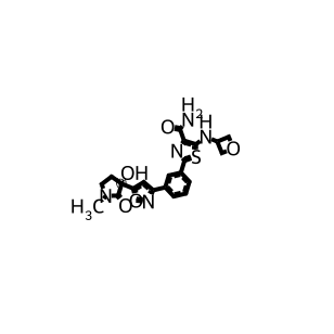 CN1CC[C@@](O)(c2cc(-c3cccc(-c4nc(C(N)=O)c(NC5COC5)s4)c3)no2)C1=O